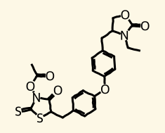 CCN1C(=O)OCC1Cc1ccc(Oc2ccc(CC3SC(=S)N(OC(C)=O)C3=O)cc2)cc1